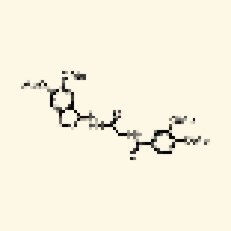 COc1ccc(C(=O)NCC(=O)N/N=C2\CCc3cc(OC)c(OC)cc32)cc1OC